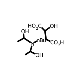 CCCCN(C(C)O)C(C)O.O=C(O)CC(O)C(=O)O